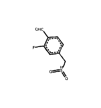 O=Cc1ccc(C[SH](=O)=O)cc1F